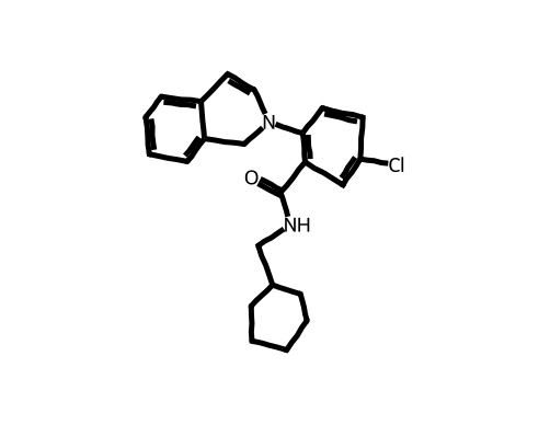 O=C(NCC1CCCCC1)c1cc(Cl)ccc1N1C=Cc2ccccc2C1